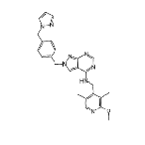 COc1ncc(C)c(CNc2ncnc3nn(Cc4ccc(Cn5cccn5)cc4)cc23)c1C